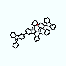 O=c1c2ccccc2c2c3cc(-c4ccc5c(c4)c4ccccc4n5-c4ccccc4)ccc3n(-c3ccccc3)c2n1-c1cccc2c1-c1ccccc1C21c2ccccc2-c2ccccc21